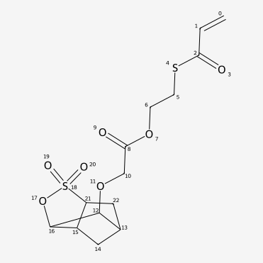 C=CC(=O)SCCOC(=O)COC1C2CC3C1OS(=O)(=O)C3C2